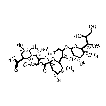 C[C@H]1C([C@H](O)C(O)CO)OC(OC(CO)[C@@H](O)C2O[C@@](OC(CO)[C@@H](O)C3O[C@@](O)(C(=O)O)C[C@@H](O)[C@H]3C)(C(=O)O)C[C@@H](O)[C@H]2C)C[C@H]1O